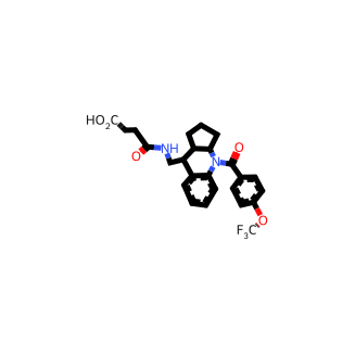 O=C(O)CCC(=O)NCC1c2ccccc2N(C(=O)c2ccc(OC(F)(F)F)cc2)C2CCCC12